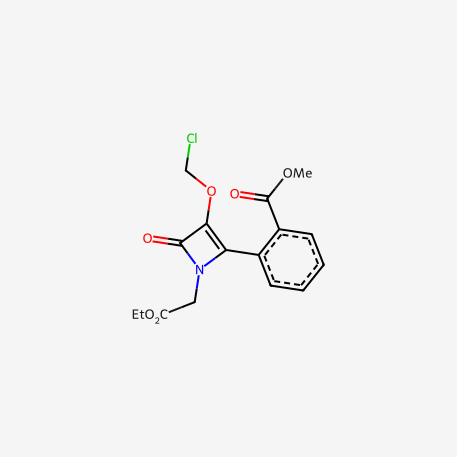 CCOC(=O)CN1C(=O)C(OCCl)=C1c1ccccc1C(=O)OC